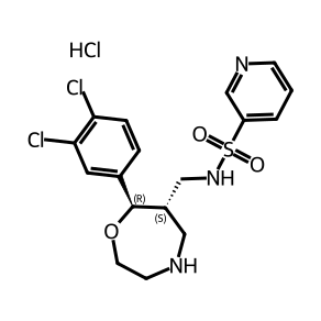 Cl.O=S(=O)(NC[C@@H]1CNCCO[C@H]1c1ccc(Cl)c(Cl)c1)c1cccnc1